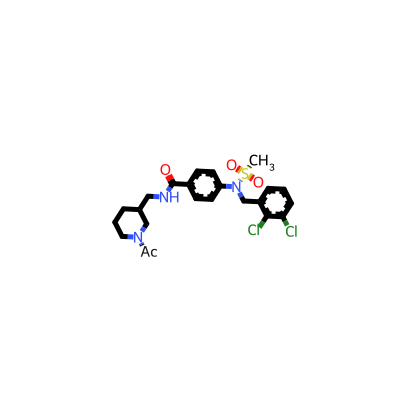 CC(=O)N1CCCC(CNC(=O)c2ccc(N(Cc3cccc(Cl)c3Cl)S(C)(=O)=O)cc2)C1